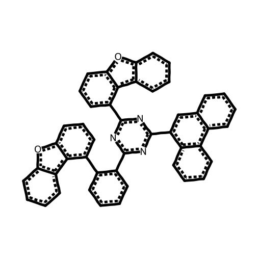 c1ccc(-c2cccc3oc4ccccc4c23)c(-c2nc(-c3cc4ccccc4c4ccccc34)nc(-c3cccc4oc5ccccc5c34)n2)c1